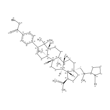 C=C(C)[C@@H]1CC[C@]2(CN(C)C3CCCN3CC)CC[C@]3(C)[C@H](CC[C@@H]4[C@@]5(C)CC=C(c6ccc(C(=O)OC(C)(C)C)cc6)C(C)(C)[C@@H]5CC[C@]43C)[C@@H]12